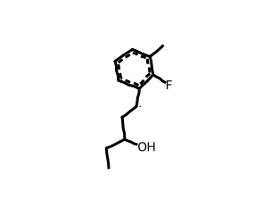 CCC(O)C[CH]c1cccc(C)c1F